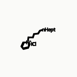 CCCCCCCCCCCC[n+]1ccccc1.Cl